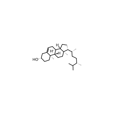 CC(C)[C@@H](C)CC[C@@H](C)[C@H]1CC[C@H]2[C@@H]3CC=C4C[C@@H](O)CC[C@]4(C)[C@H]3CC[C@]12C